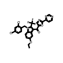 CCOc1ccc2c(c1)c(C(=O)c1cnc(-c3ccncn3)o1)c(C(F)(F)F)n2Cc1ccc(Cl)cc1Cl